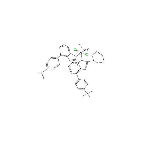 CC1=Cc2c(-c3ccc(C(C)C)cc3)cccc2[CH]1[Zr]([Cl])([Cl])([CH]1C(C2CCCCC2)=Cc2c(-c3ccc(C(C)(C)C)cc3)cccc21)[SiH](C)C